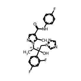 Cc1c(C(=O)Nc2ccc(F)cc2)cnn1[C@H](C)[C@](O)(Cn1cncn1)c1ccc(F)cc1F